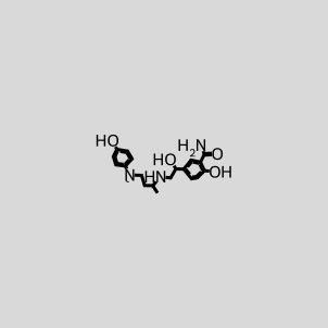 CC(CCN(C)c1ccc(O)cc1)NCC(O)c1ccc(O)c(C(N)=O)c1